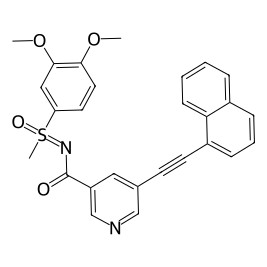 COc1ccc(S(C)(=O)=NC(=O)c2cncc(C#Cc3cccc4ccccc34)c2)cc1OC